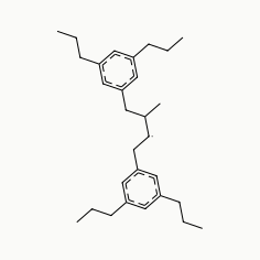 CCCc1cc(C[CH]C(C)Cc2cc(CCC)cc(CCC)c2)cc(CCC)c1